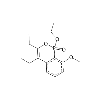 CCOP1(=O)OC(CC)=C(CC)c2cccc(OC)c21